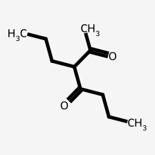 CCCC(=O)C(CCC)C(C)=O